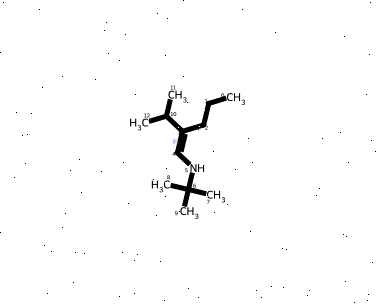 CCC/C(=C\NC(C)(C)C)C(C)C